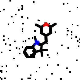 CC1=CC(=CC2=[N+](C)c3ccccc3C2(C)C)C=C(C)O1